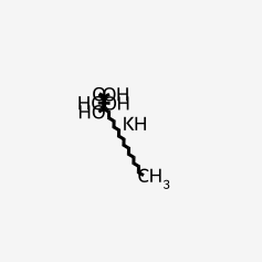 CCCCCCCCCCCCCCCC(O)C(O)(O)C(=O)O.[KH]